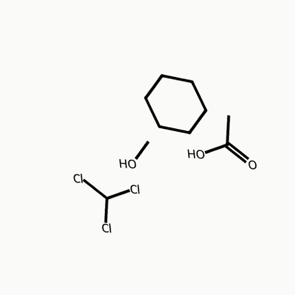 C1CCCCC1.CC(=O)O.CO.ClC(Cl)Cl